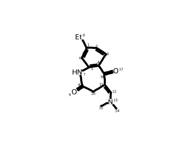 CCc1ccc2c(c1)NC(=O)CC(=CN(C)C)C2=O